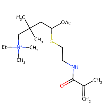 C=C(C)C(=O)NCCSC(CC(C)(C)C[N+](C)(C)CC)OC(C)=O